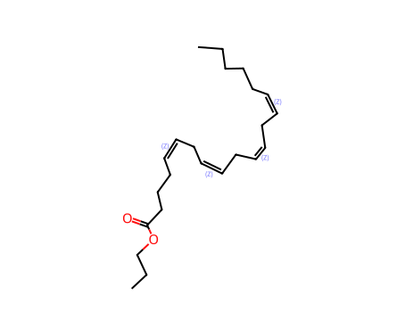 CCCCC/C=C\C/C=C\C/C=C\C/C=C\CCCC(=O)OCCC